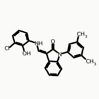 Cc1cc(C)cc(N2C(=O)C(=CNc3cccc(Cl)c3O)c3ccccc32)c1